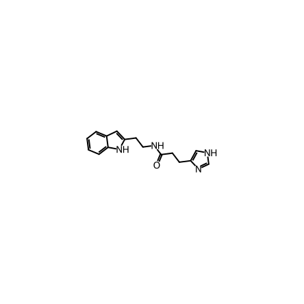 O=C(CCc1c[nH]cn1)NCCc1cc2ccccc2[nH]1